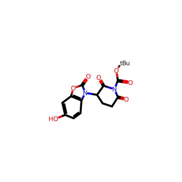 CC(C)(C)OC(=O)N1C(=O)CCC(n2c(=O)oc3cc(O)ccc32)C1=O